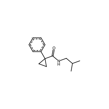 CC(C)CNC(=O)C1(c2cc[c]cc2)CC1